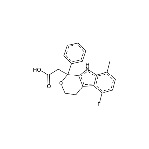 Cc1ccc(F)c2c3c([nH]c12)C(CC(=O)O)(c1ccccc1)OCC3